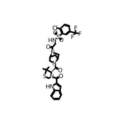 CC1(C)SCN(C(=O)c2cc3ccccc3[nH]2)[C@@H]1C(=O)N1CC2CC1CN2C(=O)CNS(=O)(=O)c1cc(C(F)(F)F)ccc1Cl